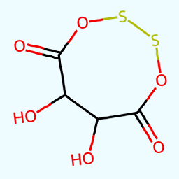 O=C1OSSOC(=O)C(O)C1O